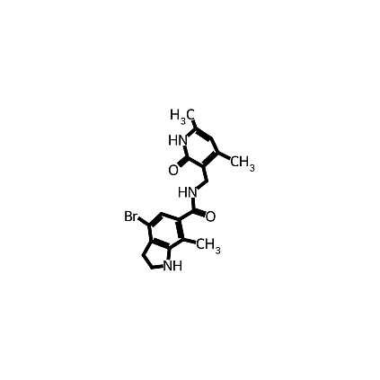 Cc1cc(C)c(CNC(=O)c2cc(Br)c3c(c2C)NCC3)c(=O)[nH]1